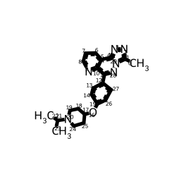 Cc1nnc2c3cccnc3c(-c3ccc(OC4CCN(C(C)C)CC4)cc3)nn12